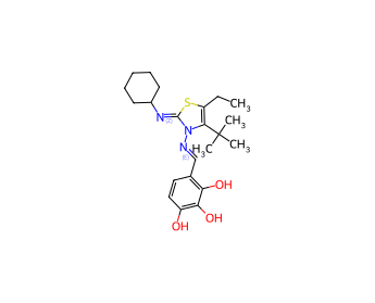 CCc1s/c(=N\C2CCCCC2)n(/N=C/c2ccc(O)c(O)c2O)c1C(C)(C)C